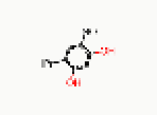 CC(C)c1cc(N=O)c(O)cc1O